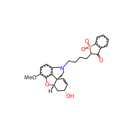 COc1ccc2c3c1O[C@H]1C[C@@H](O)C=C[C@@]31CCN(CCCCC1C(=O)c3ccccc3S1(=O)=O)C2